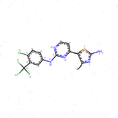 Cc1nc(N)sc1-c1ccnc(Nc2ccc(Cl)c(C(F)(F)F)c2)n1